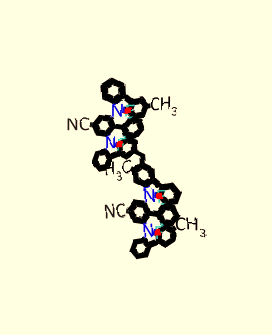 Cc1ccc2c(c1)c1ccccc1n2-c1cc(C#N)cc(-n2c3ccccc3c3cc(Cc4cc5c6ccccc6n(-c6cc(C#N)cc(-n7c8ccccc8c8ccc(C)cc87)c6-c6c(F)cccc6F)c5cc4C)ccc32)c1-c1c(F)cccc1F